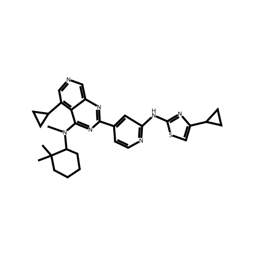 CN(c1nc(-c2ccnc(Nc3nc(C4CC4)cs3)c2)nc2cncc(C3CC3)c12)C1CCCCC1(C)C